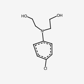 OCCN(CCO)c1ccc(Cl)cc1